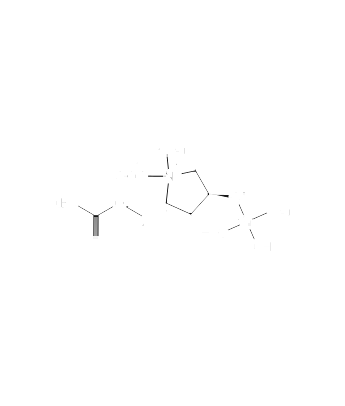 CC(C)(C)C(=O)OC[C@H]1C[C@H](O[Si](C)(C)C(C)(C)C)C[N+]1(C(=O)[O-])C(C)(C)C